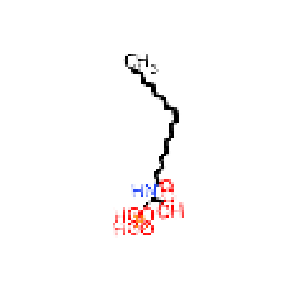 CCCCCCCC/C=C\CCCCCCCC(=O)N[C@H](COP(=O)(O)O)C(=O)O